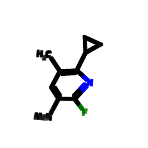 CNc1cc(C)c(C2CC2)nc1F